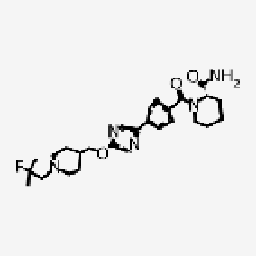 CC(C)(F)CN1CCC(COc2cnc(-c3ccc(C(=O)N4CCCC[C@H]4C(N)=O)cc3)cn2)CC1